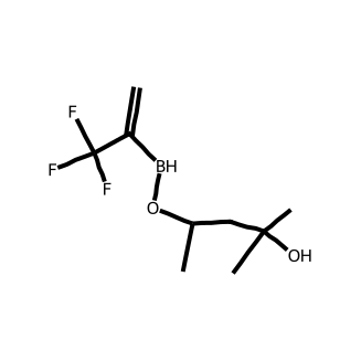 C=C(BOC(C)CC(C)(C)O)C(F)(F)F